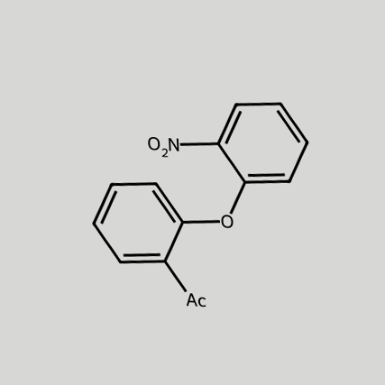 CC(=O)c1ccccc1Oc1ccccc1[N+](=O)[O-]